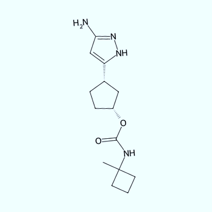 CC1(NC(=O)O[C@@H]2CC[C@H](c3cc(N)n[nH]3)C2)CCC1